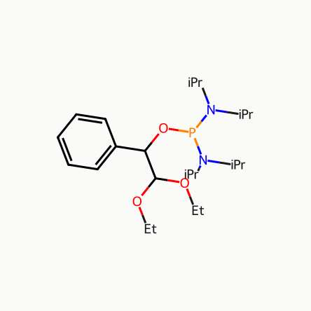 CCOC(OCC)C(OP(N(C(C)C)C(C)C)N(C(C)C)C(C)C)c1ccccc1